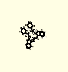 C[Si](C)(OC1=Cc2ccccc2C1C[SiH2]CC1C(O[Si](C)(C)C2CCCCC2)=Cc2ccccc21)C1CCCCC1